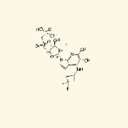 N#Cc1nc2c(ccn2[C@@H]2O[C@H](CS(=O)(=O)CP(=O)(O)O)[C@@H](O)[C@@H]2F)c(NC2CC(F)(F)C2)c1C#N